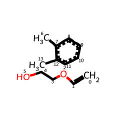 C=COCCO.Cc1ccccc1C